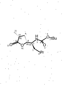 CC(C)C[C@H](NC(=O)OC(C)(C)C)[C@H]1C[C@@H](C)C(=O)O1